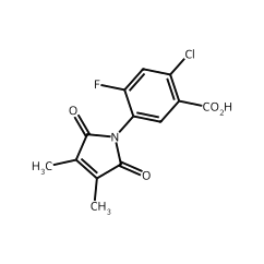 CC1=C(C)C(=O)N(c2cc(C(=O)O)c(Cl)cc2F)C1=O